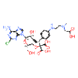 C#C[C@@H](O)[C@@H](O[C@@H](CO)COC(Cc1ccc(NCCN(C)CC(=O)O)cc1)(C(=O)O)C(=O)O)n1cnc2c(N)nc(Cl)nc21